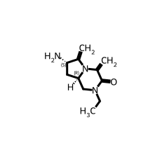 C=C1C(=O)N(CC)C[C@H]2C[C@H](N)C(=C)N12